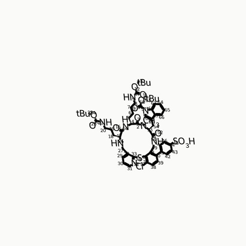 CN1C(=O)[C@H](CCCCNC(=O)OC(C)(C)C)NC(=O)[C@H](CCCNC(=O)OC(C)(C)C)NCc2cccnc2Sc2c(Cl)ccc(-c3ccc(S(=O)(=O)O)cc3)c2CNC(=O)[C@@H]1Cc1cn(C(=O)OC(C)(C)C)c2ccccc12